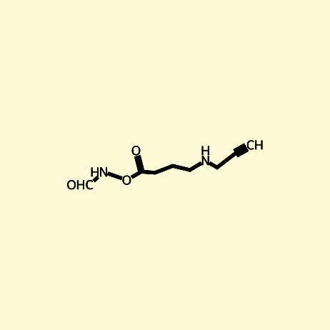 C#CCNCCCC(=O)ONC=O